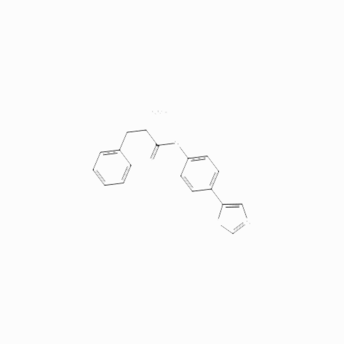 CN[C@@H](Cc1ccccc1)C(=O)Nc1ccc(-c2cnco2)cc1